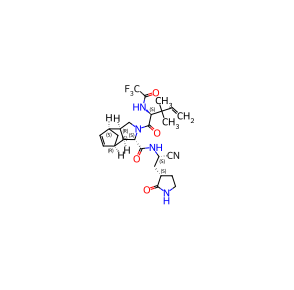 C=CC(C)(C)[C@H](NC(=O)C(F)(F)F)C(=O)N1C[C@H]2[C@@H]([C@H]1C(=O)N[C@H](C#N)C[C@@H]1CCNC1=O)[C@H]1C=C[C@@H]2C1